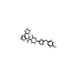 CC1CN(c2nc(Cc3ccc(Cl)cc3)ns2)CCN1S(=O)(=O)c1occc1C1OCCO1